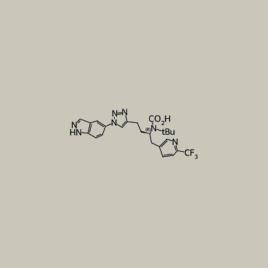 CC(C)(C)N(C(=O)O)[C@H](CCc1cn(-c2ccc3[nH]ncc3c2)nn1)Cc1ccc(C(F)(F)F)nc1